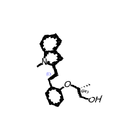 C[C@H](CO)Oc1ccccc1/C=C/c1cc2ccccc2n1C